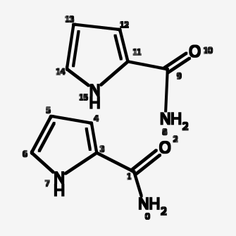 NC(=O)c1ccc[nH]1.NC(=O)c1ccc[nH]1